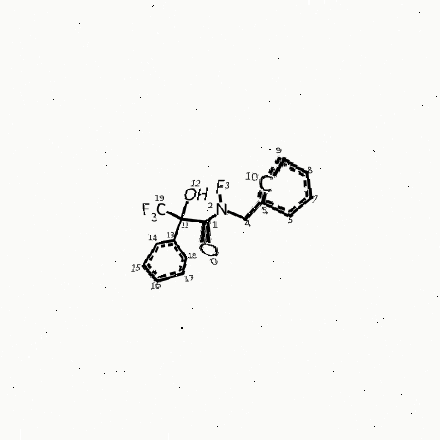 O=C(N(F)Cc1ccccc1)C(O)(c1ccccc1)C(F)(F)F